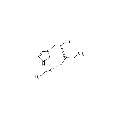 CCOCCOCC.O=C(O)CN1C=CNC1